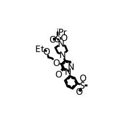 CCOCCOc1c(N2CCN(S(=O)(=O)C(C)C)CC2)cnn(-c2cccc(S(C)(=O)=O)c2)c1=O